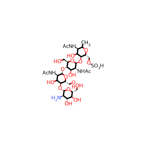 CC(=O)N[C@H]1C(C)O[C@H](COS(=O)(=O)O)[C@@H](O[C@@H]2O[C@H](CO)[C@@H](O[C@@H]3O[C@H](CO)[C@@H](O[C@@H]4O[C@H](CO)[C@@H](O)[C@H](O)[C@H]4N)C(O)[C@H]3NC(C)=O)[C@H](O)[C@H]2NC(C)=O)C1O